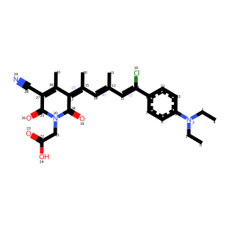 CCN(CC)c1ccc(/C(Cl)=C/C(C)=C/C(C)=C2\C(=O)N(CC(=O)O)C(=O)C(C#N)=C2C)cc1